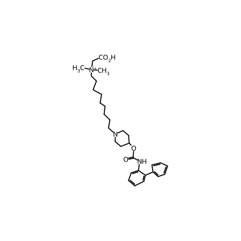 C[N+](C)(CCCCCCCCCN1CCC(OC(=O)Nc2ccccc2-c2ccccc2)CC1)CC(=O)O